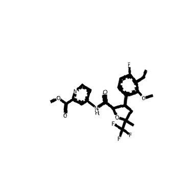 CCc1c(F)ccc(C2CC(C)(C(F)(F)F)OC2C(=O)Nc2ccnc(C(=O)OC)c2)c1OC